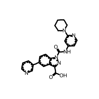 O=C(O)c1nn(C(=O)Nc2ccnc(N3CCCCC3)c2)c2ccc(-c3cccnc3)cc12